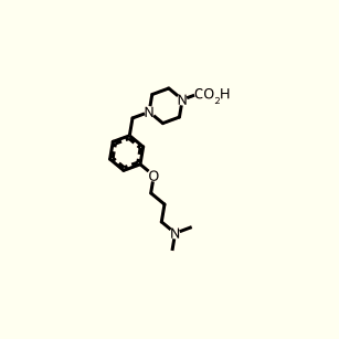 CN(C)CCCOc1cccc(CN2CCN(C(=O)O)CC2)c1